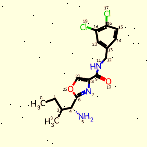 CCC(C)[C@@H](N)c1nc(C(=O)NCc2ccc(Cl)c(Cl)c2)co1